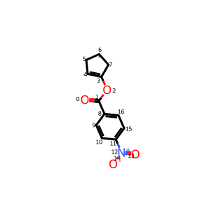 O=C(OC1=CC[CH]C1)c1ccc([N+](=O)[O-])cc1